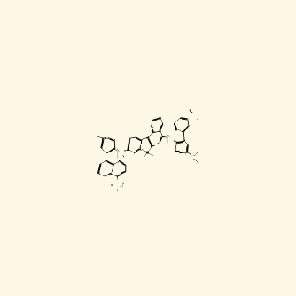 Cc1ccc(N(c2ccc3c(c2)C(C)(C)c2cc(-n4c5ccc([Si](C)(C)C)cc5c5cc([Si](C)(C)C)ccc54)c4ccccc4c2-3)c2ccc([Si](C)(C)C)c3ccccc23)cc1